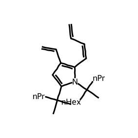 C=C/C=C\c1c(C=C)cc(C(C)(C)CCC)n1C(C)(CCC)CCCCCC